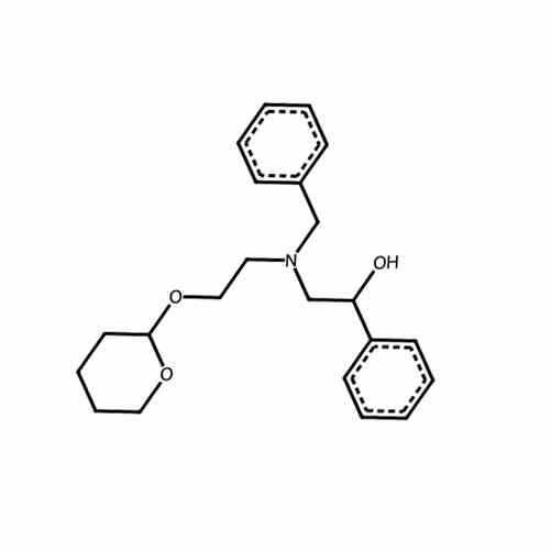 OC(CN(CCOC1CCCCO1)Cc1ccccc1)c1ccccc1